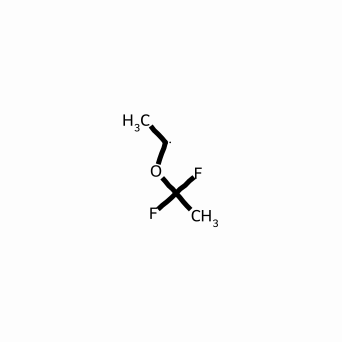 C[CH]OC(C)(F)F